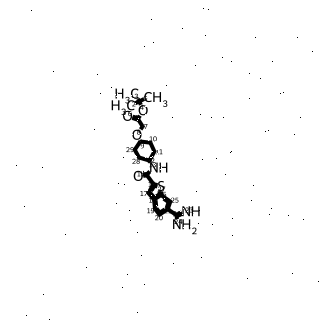 CC(C)(C)OC(=O)COC1CCC(NC(=O)c2cc3ccc(C(=N)N)cc3s2)CC1